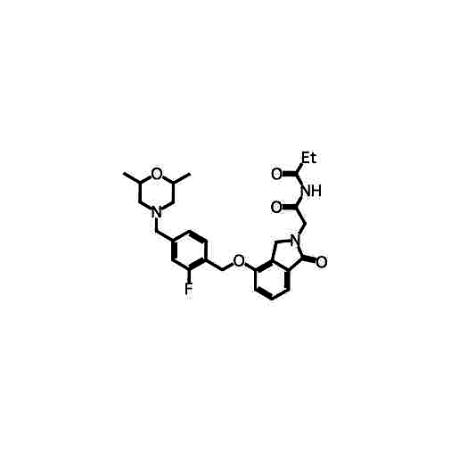 CCC(=O)NC(=O)CN1Cc2c(OCc3ccc(CN4CC(C)OC(C)C4)cc3F)cccc2C1=O